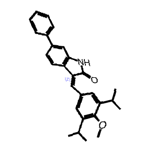 COc1c(C(C)C)cc(/C=C2\C(=O)Nc3cc(-c4ccccc4)ccc32)cc1C(C)C